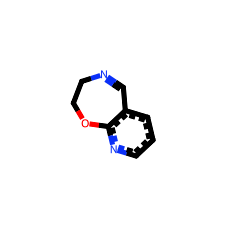 C1=NCCOc2ncccc21